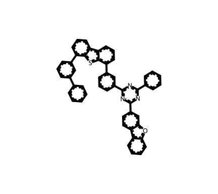 c1ccc(-c2cccc(-c3cccc4c3sc3c(-c5cccc(-c6nc(-c7ccccc7)nc(-c7ccc8c(c7)oc7ccccc78)n6)c5)cccc34)c2)cc1